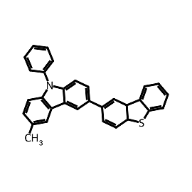 Cc1ccc2c(c1)c1cc(C3=CC4c5ccccc5SC4C=C3)ccc1n2-c1ccccc1